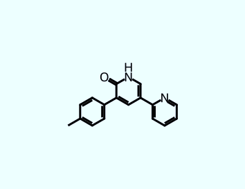 Cc1ccc(-c2cc(-c3ccccn3)c[nH]c2=O)cc1